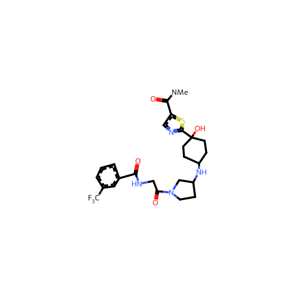 CNC(=O)c1cnc(C2(O)CCC(NC3CCN(C(=O)CNC(=O)c4cccc(C(F)(F)F)c4)C3)CC2)s1